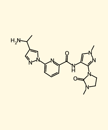 CC(N)c1cnn(-c2cccc(C(=O)Nc3cn(C)nc3N3CCN(C)C3=O)n2)c1